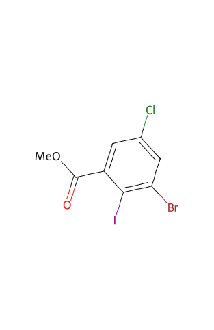 COC(=O)c1cc(Cl)cc(Br)c1I